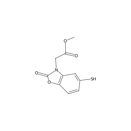 COC(=O)Cn1c(=O)oc2ccc(S)cc21